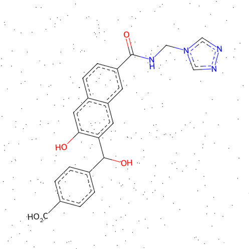 O=C(O)c1ccc(C(O)c2cc3cc(C(=O)NCn4cnnc4)ccc3cc2O)cc1